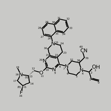 C=CC(O)N1CCN(c2nc(OC[C@@H]3C[C@@H](F)CN3C)nc3c2CCN(c2cccc4ccccc24)C3)CC1CC#N